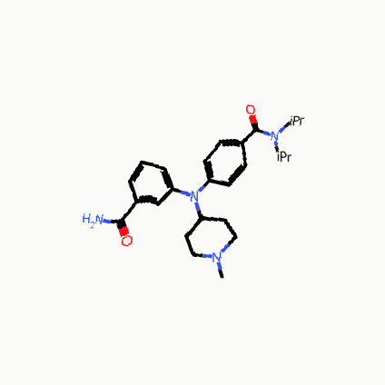 CC(C)N(C(=O)c1ccc(N(c2cccc(C(N)=O)c2)C2CCN(C)CC2)cc1)C(C)C